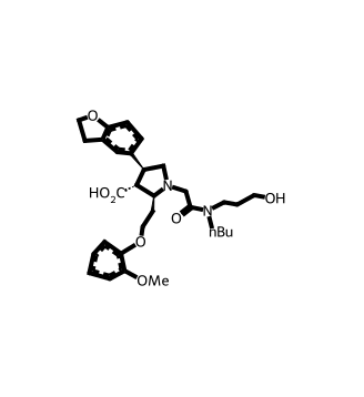 CCCCN(CCCO)C(=O)CN1C[C@H](c2ccc3c(c2)CCO3)[C@@H](C(=O)O)[C@@H]1CCOc1ccccc1OC